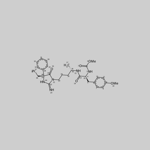 COC(=O)N[C@@H](Cc1ccc(OC)cc1)C(=O)N[C@@H](C)CCCN1C(=N)N[C@](CC(C)C)(c2ccccc2)C1=O